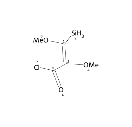 COC([SiH3])=C(OC)C(=O)Cl